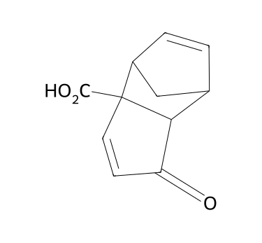 O=C1C=CC2(C(=O)O)C3C=CC(C3)C12